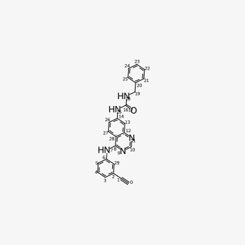 C#Cc1cccc(Nc2ncnc3cc(NC(=O)NCc4ccccc4)ccc23)c1